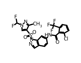 Cc1nn(C(F)F)cc1S(=O)(=O)n1ncc2ccc(NC(=O)c3c(Cl)cccc3C(F)(F)F)cc21